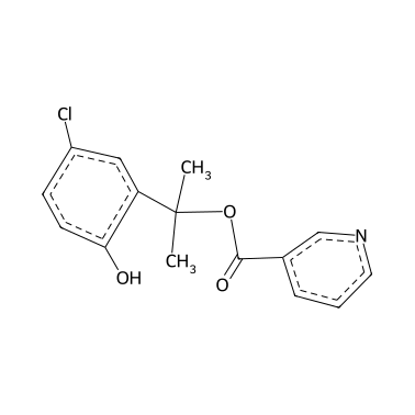 CC(C)(OC(=O)c1cccnc1)c1cc(Cl)ccc1O